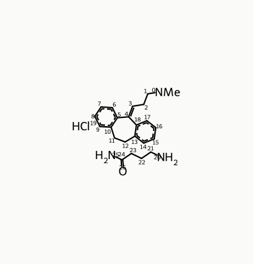 CNCCC=C1c2ccccc2CCc2ccccc21.Cl.NCCCC(N)=O